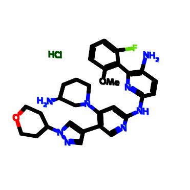 COc1cccc(F)c1-c1nc(Nc2cc(N3CCC[C@H](N)C3)c(-c3cnn(C4CCOCC4)c3)cn2)ccc1N.Cl